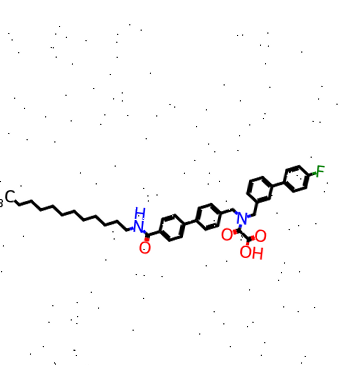 CCCCCCCCCCCCNC(=O)c1ccc(-c2ccc(CN(Cc3cccc(-c4ccc(F)cc4)c3)C(=O)C(=O)O)cc2)cc1